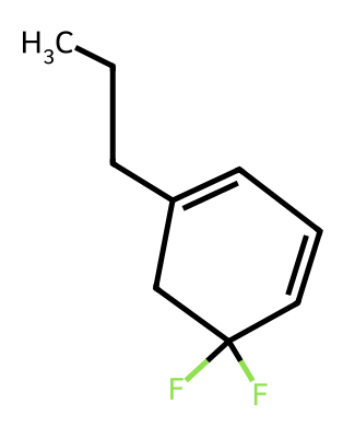 CCCC1=CC=CC(F)(F)C1